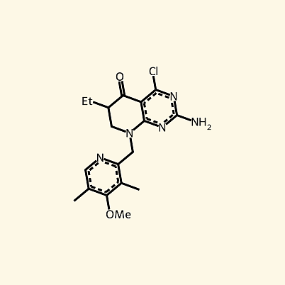 CCC1CN(Cc2ncc(C)c(OC)c2C)c2nc(N)nc(Cl)c2C1=O